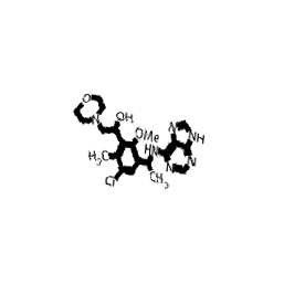 COc1c(C(C)Nc2ncnc3[nH]cnc23)cc(Cl)c(C)c1C(O)CN1CCOCC1